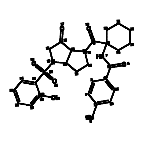 CC(C)(C)c1ccc(C(=O)NC2(C(=O)N3CCC4C3C(=O)CN4S(=O)(=O)c3cccc[n+]3[O-])CCCCC2)cc1